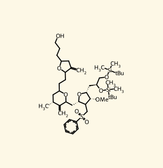 C=C1CC(CCCO)OC1CCC1C[C@@H](C)C(=C)C(C[C@@H]2O[C@H](C[C@@H](CO[Si](C)(C)C(C)(C)C)O[Si](C)(C)C(C)(C)C)[C@H](OC)C2CS(=O)(=O)c2ccccc2)O1